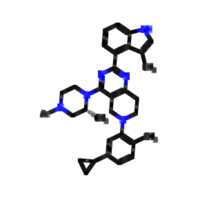 CC(=O)N1CCN(c2nc(-c3cccc4[nH]cc(C)c34)nc3c2CN(c2cc(C4CC4)ccc2C)CC3)[C@H](C)C1